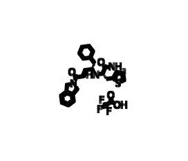 NC(=O)[C@H](Cc1cccs1)N[C@H](/C=C/C(=O)N1Cc2ccccc2C1)CC1CCCCC1.O=C(O)C(F)(F)F